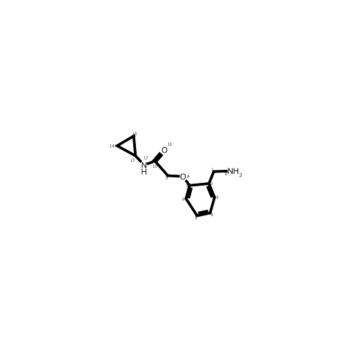 NCc1ccccc1OCC(=O)NC1CC1